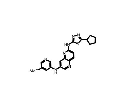 COc1cncc(Nc2cnc3ccc(Nc4nnc(C5CCCC5)s4)nc3c2)c1